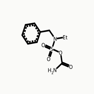 CCN(Cc1ccccc1)S(=O)(=O)OC(N)=O